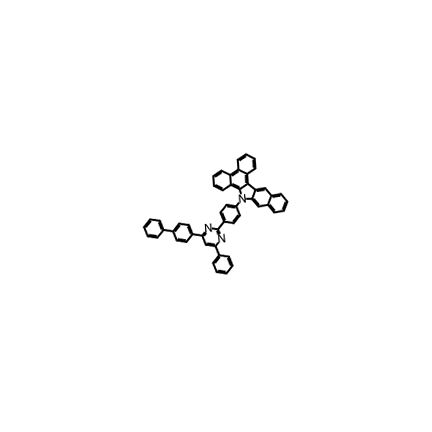 c1ccc(-c2ccc(-c3cc(-c4ccccc4)nc(-c4ccc(-n5c6cc7ccccc7cc6c6c7ccccc7c7ccccc7c65)cc4)n3)cc2)cc1